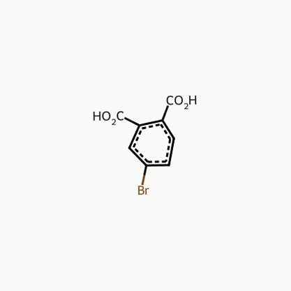 O=C(O)c1ccc(Br)cc1C(=O)O